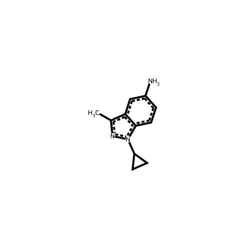 Cc1nn(C2CC2)c2ccc(N)cc12